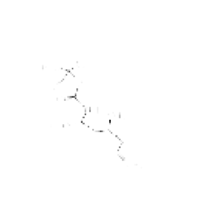 C=CC[C@H](C)C[C@H](C)NC(=O)OC(C)(C)C